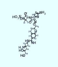 CC(O/N=C(\C(=O)NC1C(=O)N(OS(=O)(=O)O)C1(C)C)c1csc(N)n1)C1CCc2cc(C(=N)NC3CC(N)(CC(O)CO)C3)ccc2O1